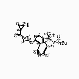 CC[C@@H](N[S+]([O-])C(C)(C)C)c1cnc(OC2CN(C(=O)C3C[C@@H]3F)C2)c2cnc(Cl)cc12